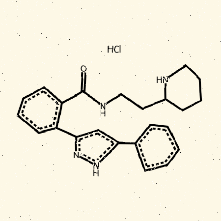 Cl.O=C(NCCC1CCCCN1)c1ccccc1-c1cc(-c2ccccc2)[nH]n1